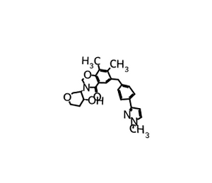 Cc1c(Cc2ccc(-c3ccn(C)n3)cc2)cc2c(c1C)OCN([C@H]1COCC[C@@H]1O)C2=O